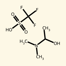 CC(O)N(C)C.O=S(=O)(O)C(F)(F)F